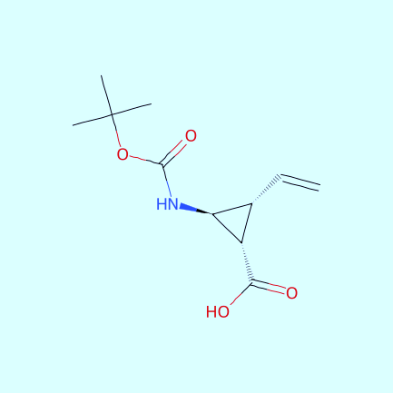 C=C[C@H]1[C@H](NC(=O)OC(C)(C)C)[C@H]1C(=O)O